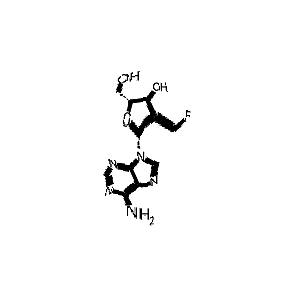 Nc1ncnc2c1ncn2[C@@H]1O[C@H](CO)C(O)C1=CF